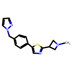 CN1CC(c2ncc(-c3ccc(Cn4cccn4)cc3)s2)C1